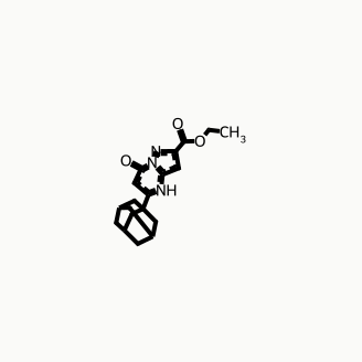 CCOC(=O)c1cc2[nH]c(C34CC5CC(CC(C5)C3)C4)cc(=O)n2n1